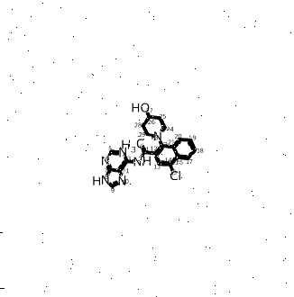 CC(Nc1ncnc2[nH]cnc12)c1cc(Cl)c2ccccc2c1N1CCC(O)CC1